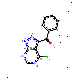 O=C(c1ccccc1)c1n[nH]c2ncnc(Cl)c12